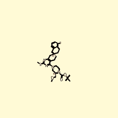 COC[C@H]1CN(c2nc(SC)nc3c2CC[C@]2(CCc4c(F)cccc4C2)C3)CCN1C(=O)OC(C)(C)C